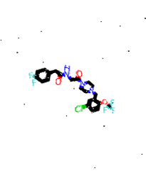 O=C(CC1CCC(F)(F)CC1)NCC(=O)N1CCN(Cc2cc(Cl)ccc2OC(F)(F)F)CC1